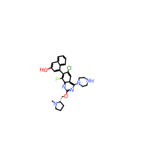 CN1CCC[C@H]1COc1nc(N2CCNCC2)c2cc(Cl)c(-c3cc(O)cc4ccccc34)c(F)c2n1